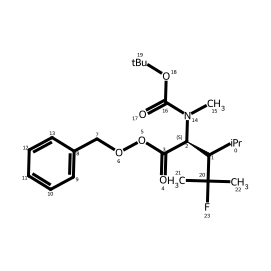 CC(C)C([C@@H](C(=O)OOCc1ccccc1)N(C)C(=O)OC(C)(C)C)C(C)(C)F